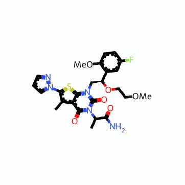 COCCO[C@@H](Cn1c(=O)n(C(C)C(N)=O)c(=O)c2c(C)c(-n3cccn3)sc21)c1cc(F)ccc1OC